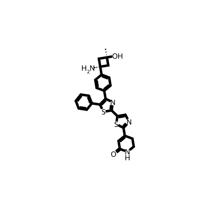 C[C@]1(O)C[C@@](N)(c2ccc(-c3nc(-c4cnc(C5=CC(=O)NCC5)s4)sc3-c3ccccc3)cc2)C1